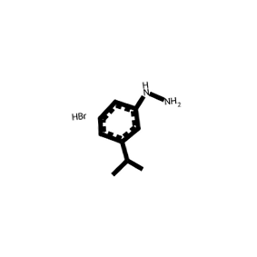 Br.CC(C)c1cccc(NN)c1